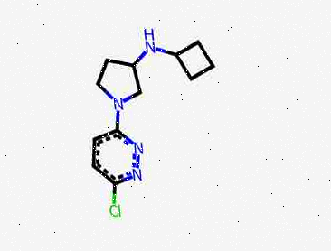 Clc1ccc(N2CCC(NC3CCC3)C2)nn1